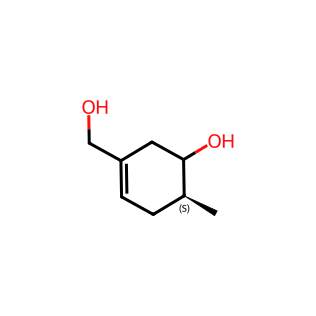 C[C@H]1CC=C(CO)CC1O